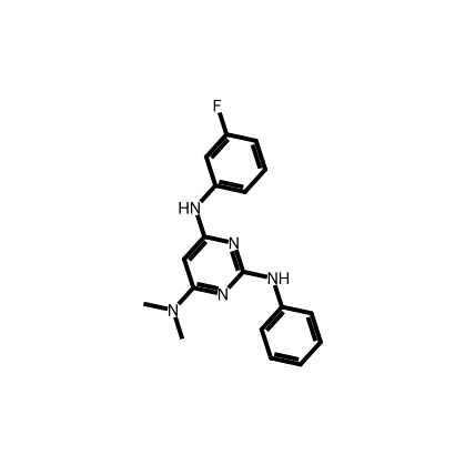 CN(C)c1cc(Nc2cccc(F)c2)nc(Nc2ccccc2)n1